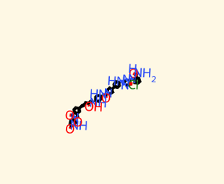 NC(=O)c1ccccc1Nc1nc(Nc2ccc(C3CCN(C(=O)N[C@H]4CC[C@@H](NCC(O)CC#Cc5ccc6c(c5)CN(C5CCC(=O)NC5=O)C6=O)CC4)CC3)cc2)ncc1Cl